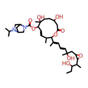 CCC(O)C(C)C1OC1CC(C)(O)/C=C/C=C(\C)C1OC(=O)CC(O)CCC(C)(O)C(OC(=O)N2CC3CC2CN3C(C)C)/C=C/C1C